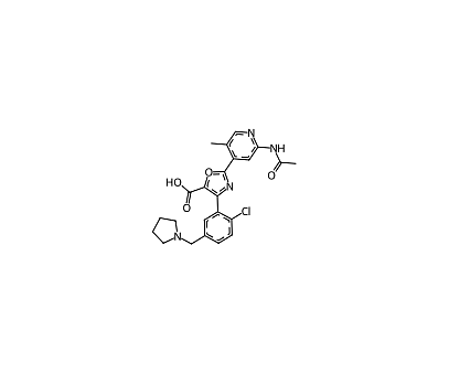 CC(=O)Nc1cc(-c2nc(-c3cc(CN4CCCC4)ccc3Cl)c(C(=O)O)o2)c(C)cn1